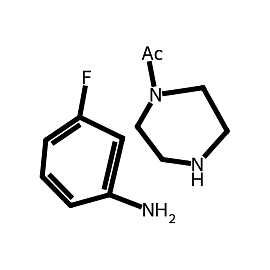 CC(=O)N1CCNCC1.Nc1cccc(F)c1